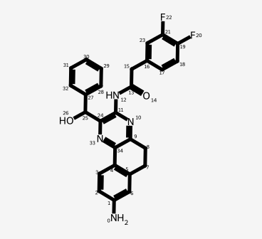 Nc1ccc2c(c1)CCc1nc(NC(=O)Cc3ccc(F)c(F)c3)c(C(O)c3ccccc3)nc1-2